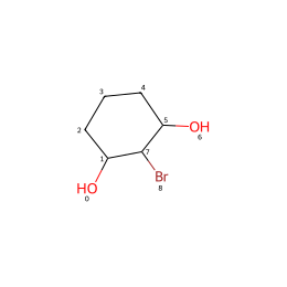 OC1CCCC(O)C1Br